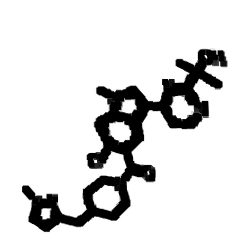 Cn1ccc(CC2CCN(C(=O)c3cc4c(-c5ccnc(C(C)(C)O)n5)cn(C)c4cc3Cl)CC2)n1